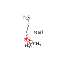 CCCCCCCCCCCC(=O)OC(=O)C=C(C)C.[NaH]